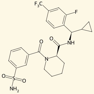 NS(=O)(=O)c1cccc(C(=O)N2CCCC[C@@H]2C(=O)N[C@@H](c2ccc(C(F)(F)F)cc2F)C2CC2)c1